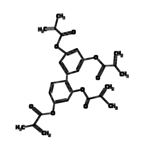 C=C(C)C(=O)Oc1cc(OC(=O)C(=C)C)cc(-c2ccc(OC(=O)C(=C)C)cc2OC(=O)C(=C)C)c1